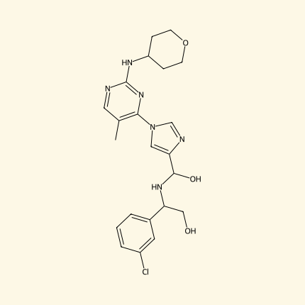 Cc1cnc(NC2CCOCC2)nc1-n1cnc(C(O)NC(CO)c2cccc(Cl)c2)c1